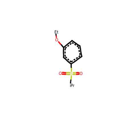 CCOc1cccc(S(=O)(=O)C(C)C)c1